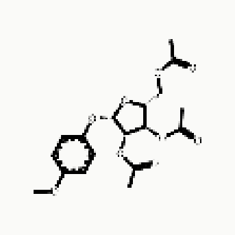 COc1ccc(O[C@@H]2O[C@H](COC(C)=O)[C@@H](OC(C)=O)[C@H]2OC(C)=O)cc1